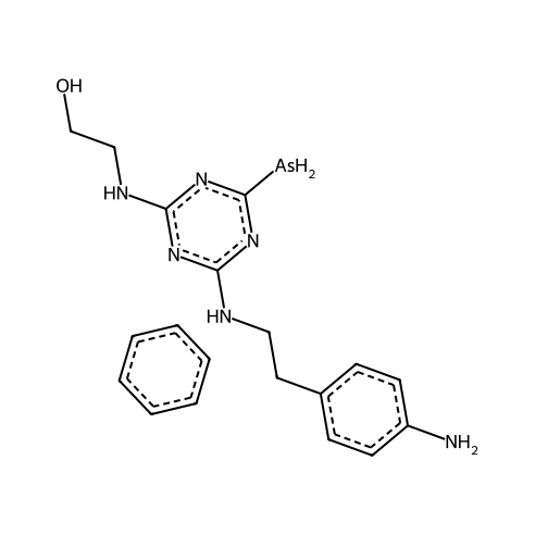 Nc1ccc(CCNc2nc([AsH2])nc(NCCO)n2)cc1.c1ccccc1